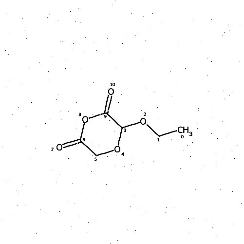 CCOC1OCC(=O)OC1=O